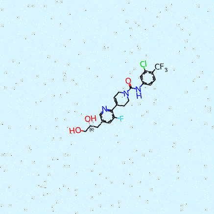 O=C(Nc1ccc(C(F)(F)F)c(Cl)c1)N1CC=C(c2ncc(C[C@@H](O)CO)cc2F)CC1